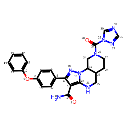 NC(=O)c1c(-c2ccc(Oc3ccccc3)cc2)nn2c1NCC1CCN(C(=O)n3cncn3)CC12